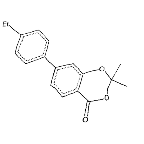 [CH2]Cc1ccc(-c2ccc3c(c2)OC(C)(C)OC3=O)cc1